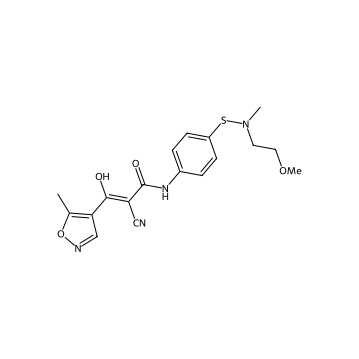 COCCN(C)Sc1ccc(NC(=O)/C(C#N)=C(\O)c2cnoc2C)cc1